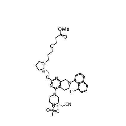 COC(=O)CCOCCCN1CCC[C@H]1COc1nc2c(c(N3CCN(S(C)(=O)=O)[C@@H](CC#N)C3)n1)CCN(c1cccc3cccc(Cl)c13)C2